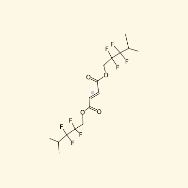 CC(C)C(F)(F)C(F)(F)COC(=O)/C=C/C(=O)OCC(F)(F)C(F)(F)C(C)C